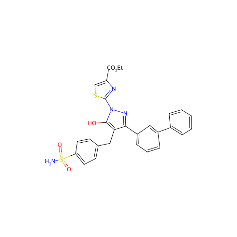 CCOC(=O)c1csc(-n2nc(-c3cccc(-c4ccccc4)c3)c(Cc3ccc(S(N)(=O)=O)cc3)c2O)n1